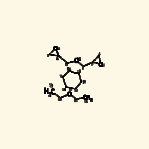 C(OCC1CO1)C1CO1.C1CCCCC1.CCOCC